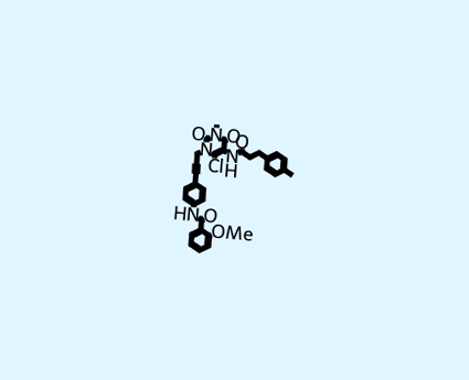 COc1ccccc1C(=O)Nc1ccc(C#CCn2c(Cl)c(NC(=O)CCc3ccc(C)cc3)c(=O)n(C)c2=O)cc1